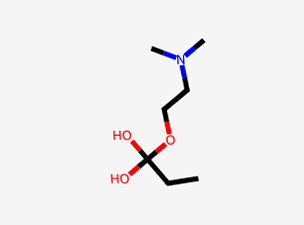 CCC(O)(O)OCCN(C)C